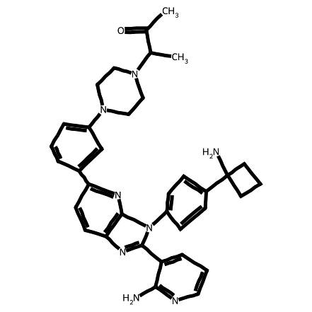 CC(=O)C(C)N1CCN(c2cccc(-c3ccc4nc(-c5cccnc5N)n(-c5ccc(C6(N)CCC6)cc5)c4n3)c2)CC1